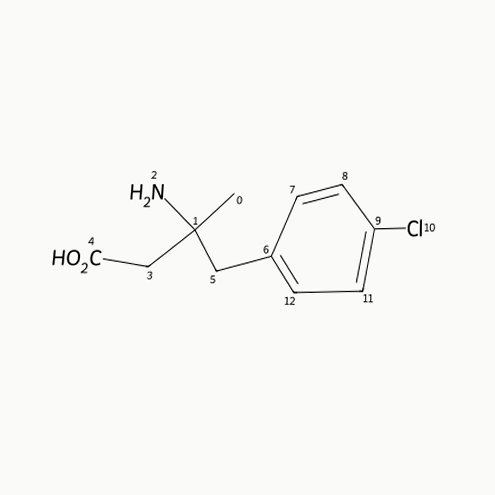 CC(N)(CC(=O)O)Cc1ccc(Cl)cc1